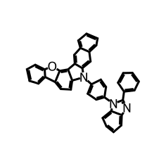 c1ccc(-c2nc3ccccc3n2-c2ccc(-n3c4cc5ccccc5cc4c4c5oc6ccccc6c5ccc43)cc2)cc1